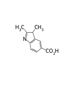 CC1=Nc2ccc(C(=O)O)cc2C1C